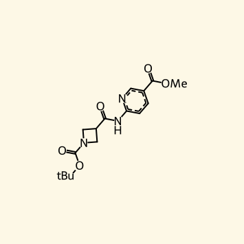 COC(=O)c1ccc(NC(=O)C2CN(C(=O)OC(C)(C)C)C2)nc1